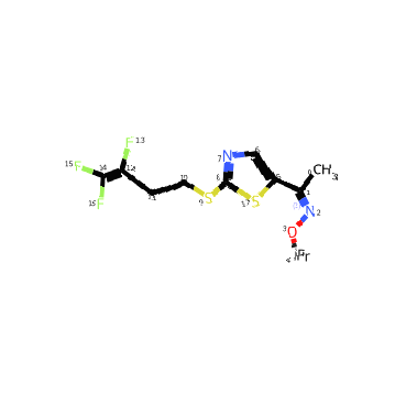 C/C(=N/OC(C)C)c1cnc(SCCC(F)=C(F)F)s1